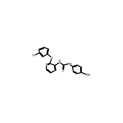 CCc1cccc(Oc2ncccc2NC(=O)Nc2ccc(C(C)(C)C)cc2)c1